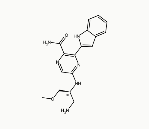 COC[C@H](CN)Nc1cnc(C(N)=O)c(-c2cc3ccccc3[nH]2)n1